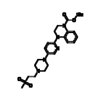 CC(C)(C)OC(=O)N1CCN(c2ccc(N3CCN(CCS(C)(=O)=O)CC3)cn2)c2ccccc21